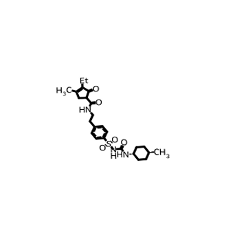 CCC1=C(C)CC(C(=O)NCCc2ccc(S(=O)(=O)NC(=O)N[C@H]3CC[C@H](C)CC3)cc2)C1=O